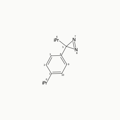 CC(C)c1ccc(C2(C(C)C)N=N2)cc1